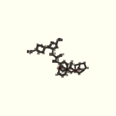 Cc1ccc(-n2nc(C(C)(C)C)cc2NC(=O)Nc2ccc(CC3CC4CCC(C3)N4CC(=O)c3ccncc3)cc2)cc1